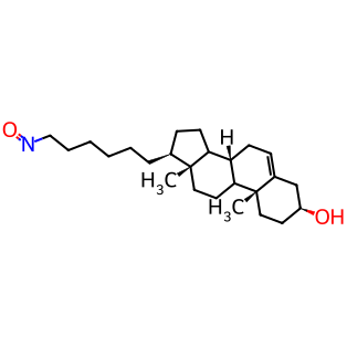 C[C@]12CC[C@H](O)CC1=CC[C@@H]1C2CC[C@@]2(C)C1CC[C@@H]2CCCCCCN=O